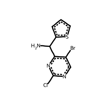 NC(c1cccs1)c1nc(Cl)ncc1Br